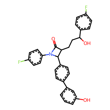 O=C1C(CCC(O)c2ccc(F)cc2)C(c2ccc(-c3cccc(O)c3)cc2)N1c1ccc(F)cc1